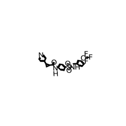 O=C(Nc1ccc(S(=O)(=O)NCc2cccc(OC(F)(F)F)c2)cc1)C1CC1c1ccncc1